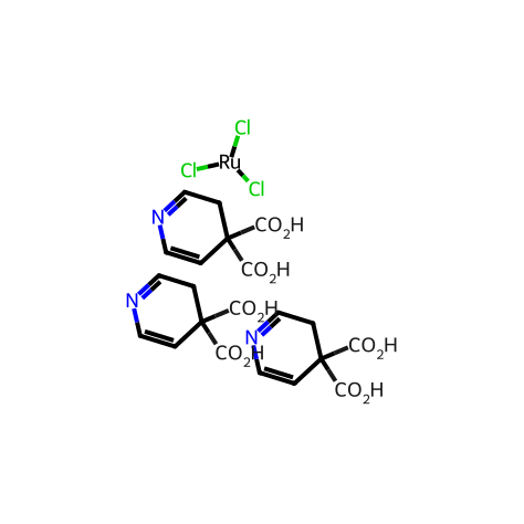 O=C(O)C1(C(=O)O)C=CN=CC1.O=C(O)C1(C(=O)O)C=CN=CC1.O=C(O)C1(C(=O)O)C=CN=CC1.[Cl][Ru]([Cl])[Cl]